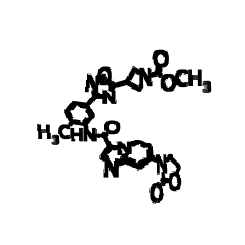 COC(=O)N1CC(c2nc(-c3ccc(C)c(NC(=O)c4cnc5cc(N6CCOC6=O)ccn45)c3)no2)C1